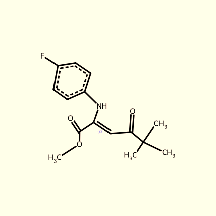 COC(=O)/C(=C/C(=O)C(C)(C)C)Nc1ccc(F)cc1